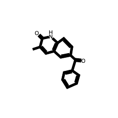 Cc1cc2cc(C(=O)c3ccccc3)ccc2[nH]c1=O